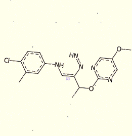 COc1cnc(OC(C)/C(=C/Nc2ccc(Cl)c(C)c2)N=N)nc1